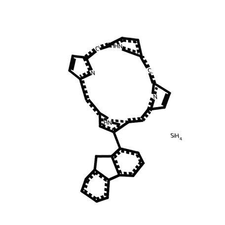 C1=Cc2cc3cc(-c4cccc5c4Cc4ccccc4-5)c(cc4nc(cc5ccc(cc1n2)[nH]5)C=C4)[nH]3.[SiH4]